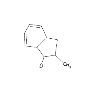 [Li][CH]1C(C)CC2C=CC=CC21